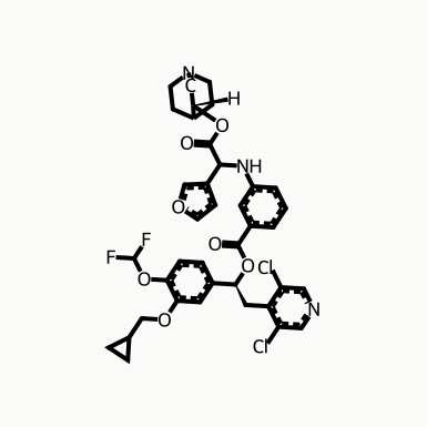 O=C(O[C@@H](Cc1c(Cl)cncc1Cl)c1ccc(OC(F)F)c(OCC2CC2)c1)c1cccc(NC(C(=O)O[C@H]2CN3CCC2CC3)c2ccoc2)c1